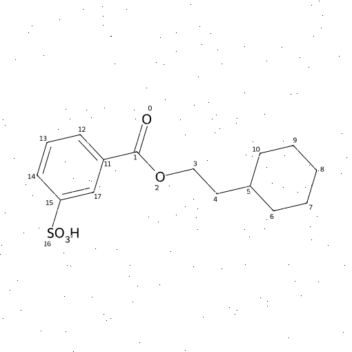 O=C(OCCC1CCCCC1)c1cccc(S(=O)(=O)O)c1